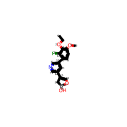 CCOc1c(OC)ccc(-c2cncc(C3=COB(O)C3)c2)c1F